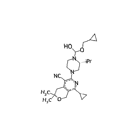 CC(C)[C@@H]1CN(c2nc(C3CC3)c3c(c2C#N)CC(C)(C)OC3)CCN1C(O)OCC1CC1